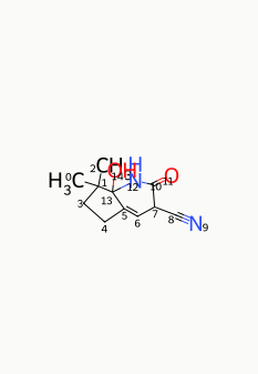 CC1(C)CCC2=CC(C#N)C(=O)NC21O